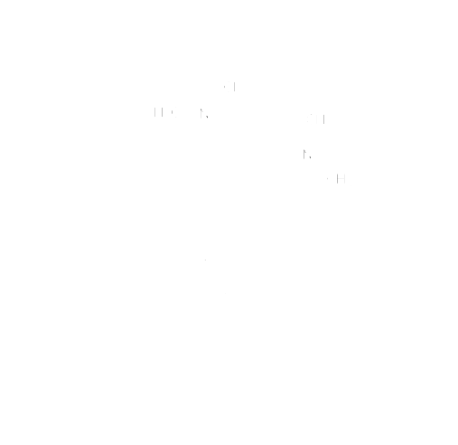 CN(C)Cc1cccc2c1-c1c(CN(C)C)cccc1C21c2ccccc2-c2ccccc21